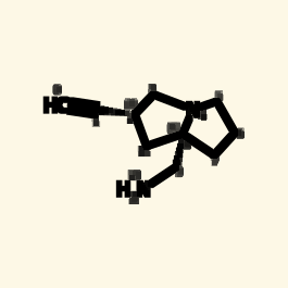 C#C[C@@H]1CN2CCC[C@@]2(CN)C1